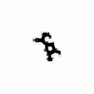 Cc1cc(C(N)=O)sc1Br